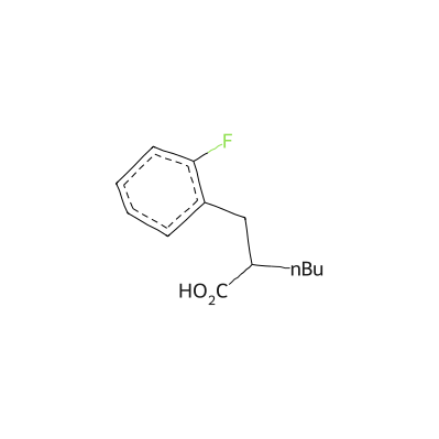 CCCCC(Cc1ccccc1F)C(=O)O